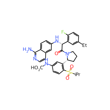 CCc1ccc(F)c([C@@H](Nc2ccc3c(N)nccc3c2)C(=O)N2CCC[C@@H]2c2cc(NC(=O)O)ccc2S(=O)(=O)C(C)C)c1